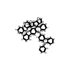 c1ccc(-n2c3ccccc3c3cc(N4c5ccccc5C5(c6cc7c(cc64)-c4ccccc4[Si]7(c4cccnc4)c4cccnc4)c4ccoc4-c4occc45)ccc32)cc1